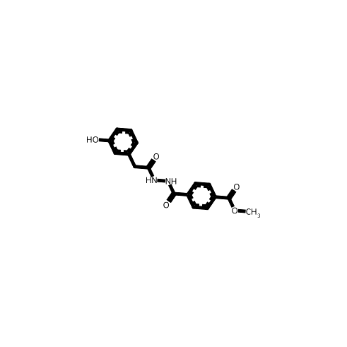 COC(=O)c1ccc(C(=O)NNC(=O)Cc2cccc(O)c2)cc1